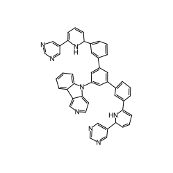 C1=CC(c2cncnc2)NC(c2cccc(-c3cc(-c4cccc(C5C=CC=C(c6cncnc6)N5)c4)cc(-n4c5ccccc5c5cnccc54)c3)c2)=C1